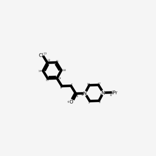 CC(C)N1CCN(C(=O)CCc2ccc(Cl)cc2)CC1